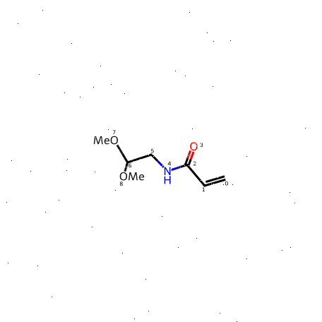 C=CC(=O)NCC(OC)OC